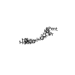 CCCCCc1nc(-c2ccc(OCCCCCOc3ccc(C(=N)NO)cc3)cc2)c(C(C)C)s1